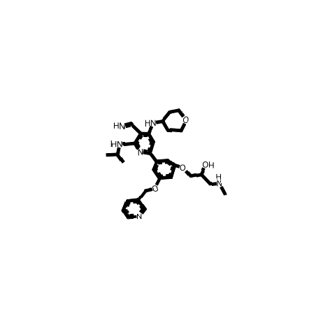 CNCC(O)COc1cc(OCc2cccnc2)cc(-c2cc(NC3CCOCC3)c(C=N)c(NC(C)C)n2)c1